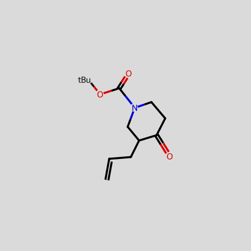 C=CCC1CN(C(=O)OC(C)(C)C)CCC1=O